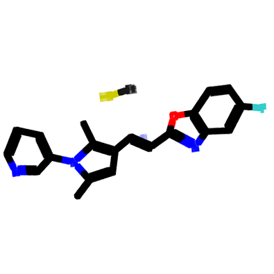 CCS.Cc1cc(/C=C/c2nc3cc(F)ccc3o2)c(C)n1-c1cccnc1